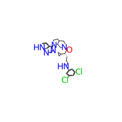 O=C([C@H](CCCNc1cc(Cl)cc(Cl)c1)C1CC1)N1CCC2CCN(c3ncnc4[nH]ccc34)C2C1